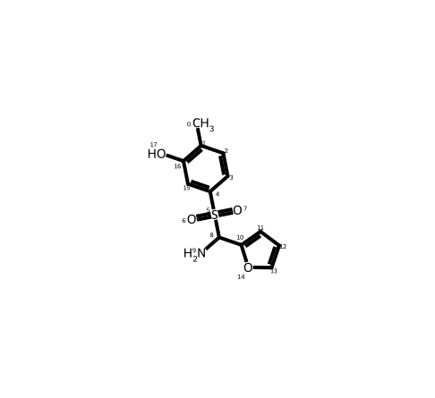 Cc1ccc(S(=O)(=O)C(N)c2ccco2)cc1O